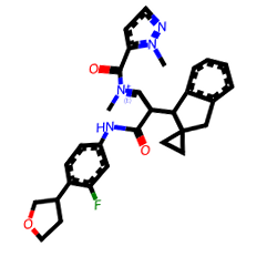 Cn1nccc1C(=O)/[N+](C)=C/C(C(=O)Nc1ccc(C2CCOC2)c(F)c1)C1c2ccccc2CC12CC2